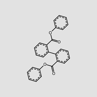 O=C(Oc1ccccc1)c1ccccc1-c1ccccc1C(=O)Oc1ccccc1